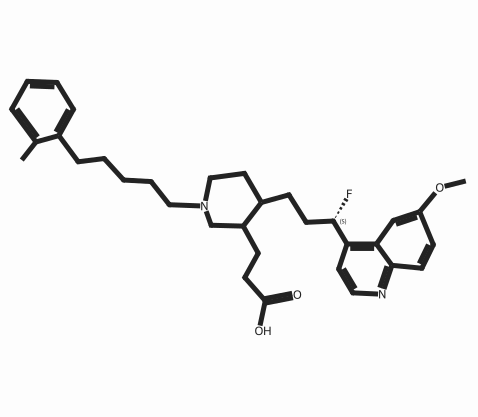 COc1ccc2nccc([C@@H](F)CCC3CCN(CCCCCc4ccccc4C)CC3CCC(=O)O)c2c1